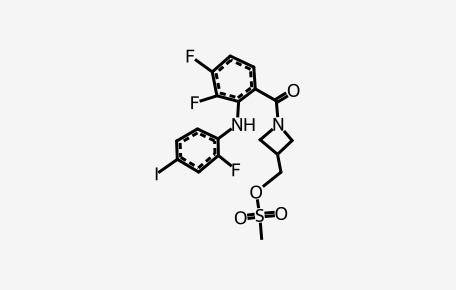 CS(=O)(=O)OCC1CN(C(=O)c2ccc(F)c(F)c2Nc2ccc(I)cc2F)C1